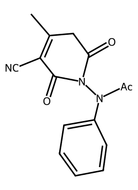 CC(=O)N(c1ccccc1)N1C(=O)CC(C)=C(C#N)C1=O